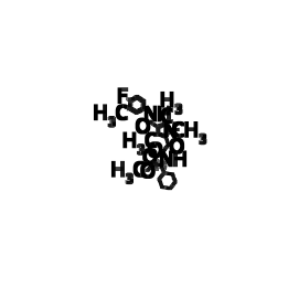 COC(=O)[C@H](NC(=O)C(=O)c1c(C)c(C(=O)Nc2ccc(F)c(C)c2)c(C)n1C)C1CCCCC1